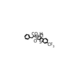 O=C(N[C@@H](Cc1ccccc1)C(=O)O)c1sc2cc(C(F)(F)F)ccc2c1Cl